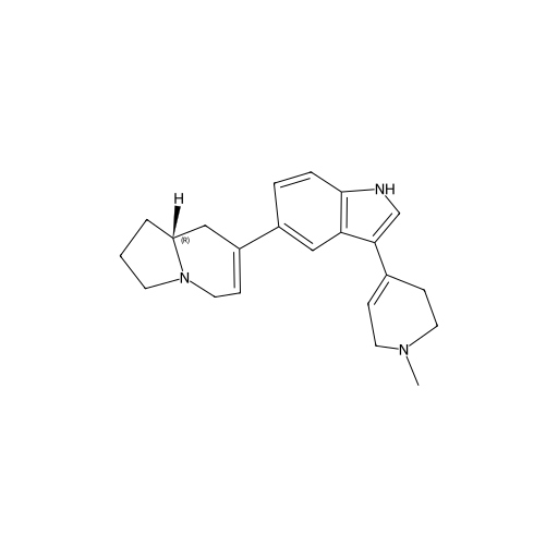 CN1CC=C(c2c[nH]c3ccc(C4=CCN5CCC[C@@H]5C4)cc23)CC1